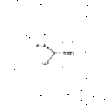 CCCCCCCC(CCCCC)OCC(C)C